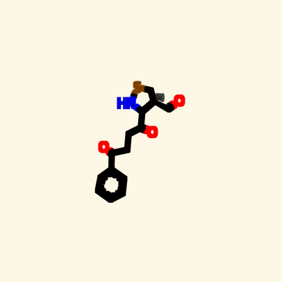 O=C[C@@H]1CSNC1C(=O)CCC(=O)c1ccccc1